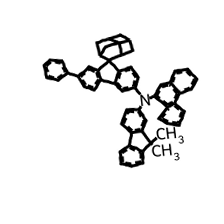 CC1(C)c2ccccc2-c2ccc(N(c3ccc4c(c3)-c3ccc(-c5ccccc5)cc3C43C4CC5CC(C4)CC3C5)c3cc4ccccc4c4ccccc34)cc21